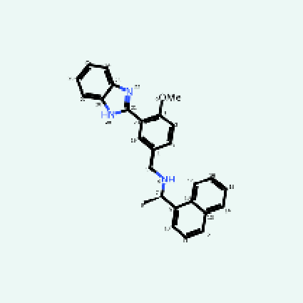 COc1ccc(CN[C@H](C)c2cccc3ccccc23)cc1-c1nc2ccccc2[nH]1